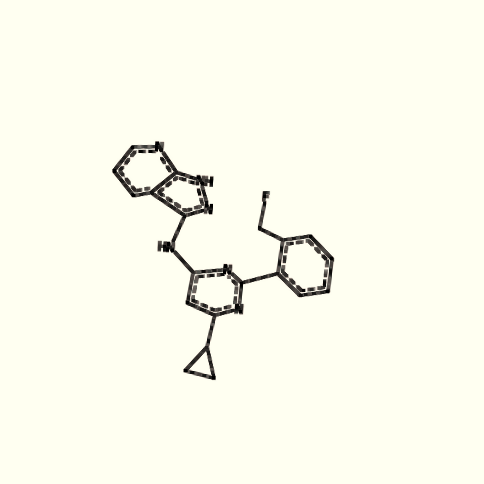 FCc1ccccc1-c1nc(Nc2n[nH]c3ncccc23)cc(C2CC2)n1